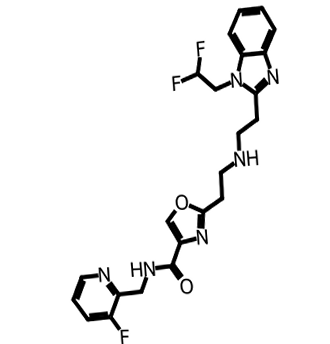 O=C(NCc1ncccc1F)c1coc(CCNCCc2nc3ccccc3n2CC(F)F)n1